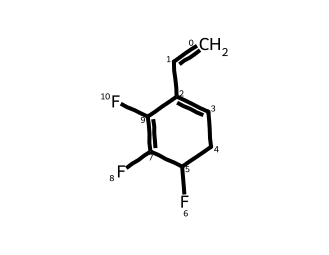 C=CC1=CCC(F)C(F)=C1F